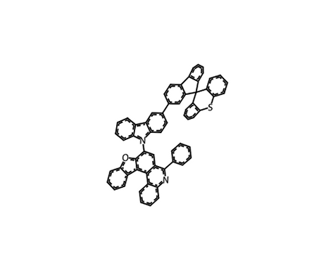 c1ccc(-c2nc3ccccc3c3c2cc(-n2c4ccccc4c4cc(-c5ccc6c(c5)C5(c7ccccc7Sc7ccccc75)c5ccccc5-6)ccc42)c2oc4ccccc4c23)cc1